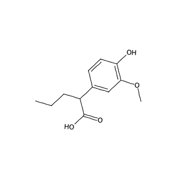 CCCC(C(=O)O)c1ccc(O)c(OC)c1